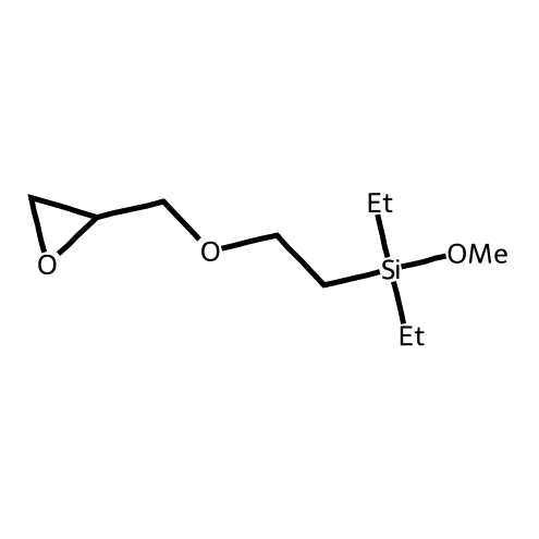 CC[Si](CC)(CCOCC1CO1)OC